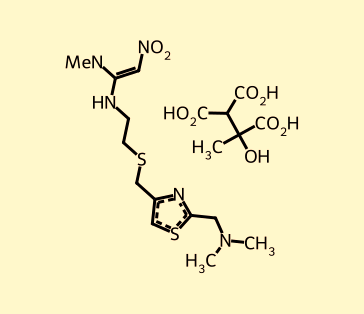 CC(O)(C(=O)O)C(C(=O)O)C(=O)O.CNC(=C[N+](=O)[O-])NCCSCc1csc(CN(C)C)n1